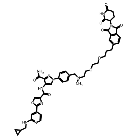 CN(CCOCCOCCCc1ccc2c(c1)C(=O)N(C1CCC(=O)NC1=O)C2=O)Cc1ccc(-n2cc(NC(=O)c3coc(-c4ccnc(NCC5CC5)c4)n3)c(C(N)=O)n2)cc1